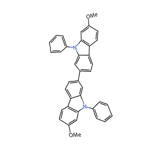 COc1ccc2c3ccc(-c4ccc5c6ccc(OC)cc6n(-c6ccccc6)c5c4)cc3n(-c3ccccc3)c2c1